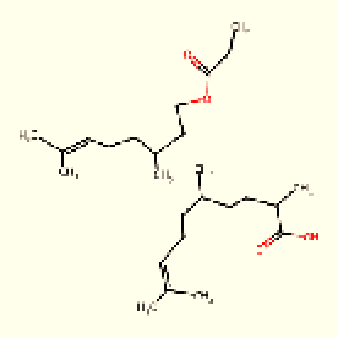 CC(C)=CCCC(C)CCC(C)C(=O)O.CCC(=O)OCCC(C)CCC=C(C)C